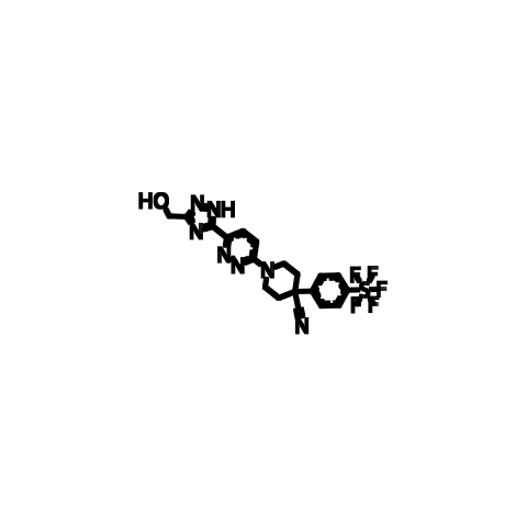 N#CC1(c2ccc(S(F)(F)(F)(F)F)cc2)CCN(c2ccc(-c3nc(CO)n[nH]3)nn2)CC1